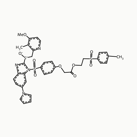 COc1ccnc(C[S+]([O-])c2nc3ccc(-n4cccc4)cc3n2S(=O)(=O)c2ccc(OCC(=O)OCCS(=O)(=O)c3ccc(C)cc3)cc2)c1C